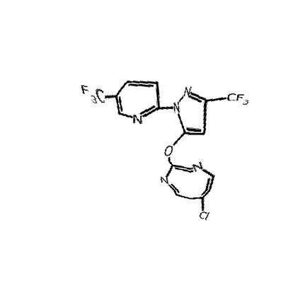 FC(F)(F)c1ccc(-n2nc(C(F)(F)F)cc2Oc2ncc(Cl)cn2)nc1